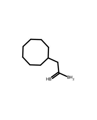 B=C(B)CC1CCCCCCC1